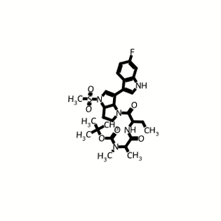 CCC(NC(=O)C(C)N(C)C(=O)OC(C)(C)C)C(=O)N1CCC2C1C(c1c[nH]c3cc(F)ccc13)=CN2S(C)(=O)=O